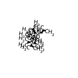 CC(C)C[Si](Cl)(CC(C)C)O[Si](C)(O[Si](C)(C)C)O[Si](C(C)C)(C(C)C)C(C)C